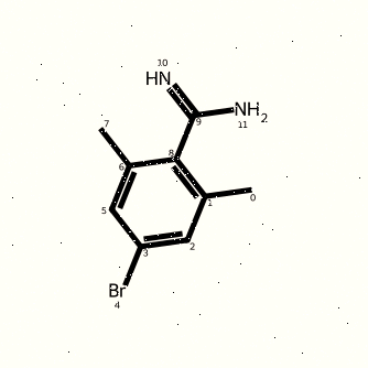 Cc1cc(Br)cc(C)c1C(=N)N